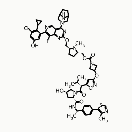 Cc1ncsc1-c1ccc([C@H](C)NC(=O)[C@@H]2C[C@@H](O)CN2C(=O)[C@@H](c2cc(OC3CN(C(=O)OC[C@@H]4CC[C@@H](COc5nc(N6CC7CCC(C6)N7)c6cnc(-c7cc(O)cc(Cl)c7C7CC7)c(F)c6n5)N4C)C3)no2)C(C)C)cc1